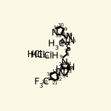 Cl.Cl.Cl.Cn1c(SCCCN2C[C@H]3CCN(c4ccc(C(F)(F)F)cc4)[C@H]3C2)nnc1-c1cccnc1